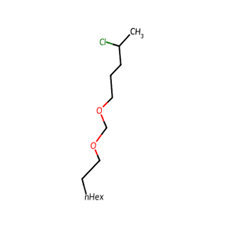 CCCCCCCCOCOCCCC(C)Cl